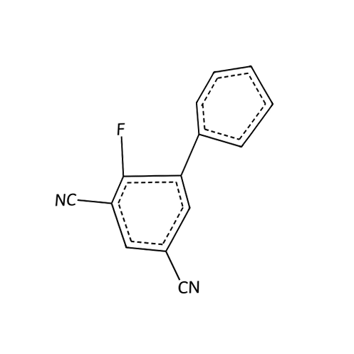 N#Cc1cc(C#N)c(F)c(-c2ccccc2)c1